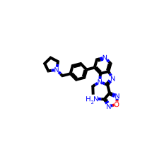 CCn1c(-c2nonc2N)nc2cncc(-c3ccc(CN4CCCC4)cc3)c21